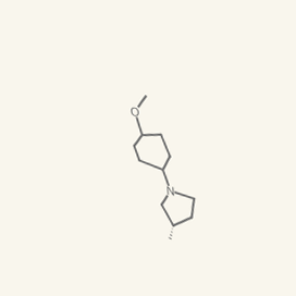 COC1CCC(N2CC[C@H](C)C2)CC1